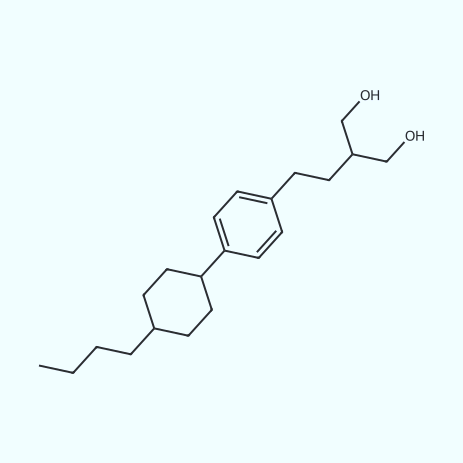 CCCCC1CCC(c2ccc(CCC(CO)CO)cc2)CC1